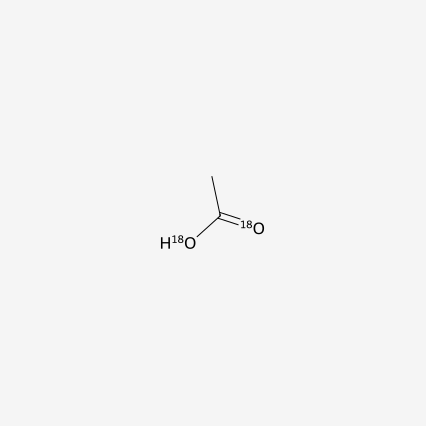 CC(=[18O])[18OH]